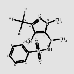 CN(NS(=O)(=O)c1ccccc1)c1c(N)c(C(F)(F)F)nn1C